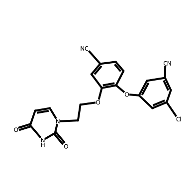 N#Cc1cc(Cl)cc(Oc2ccc(C#N)cc2OCCn2ccc(=O)[nH]c2=O)c1